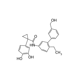 CCc1ccc(NC(=O)C2(c3ccc(O)c(O)c3)CC2)cc1-c1cccc(CO)c1